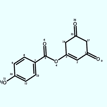 O=C1C=C(OC(=O)c2ccc(O)cc2)CC(=O)C1